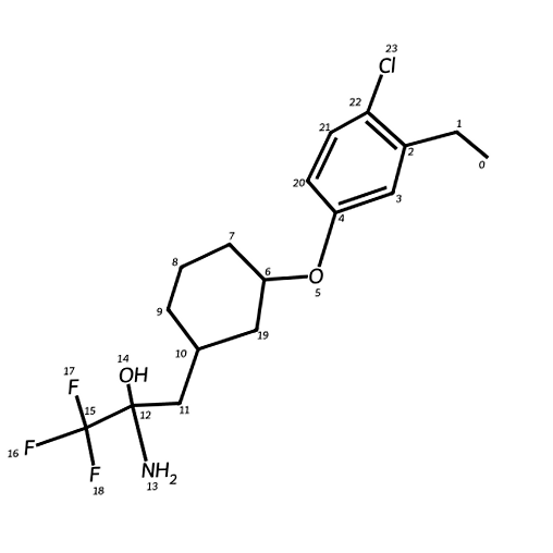 CCc1cc(OC2CCCC(CC(N)(O)C(F)(F)F)C2)ccc1Cl